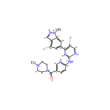 CCN1CCN(C(=O)c2ccc(Nc3ncc(F)c(-c4cc(F)c5cnn(C(C)C)c5c4)n3)nc2)CC1